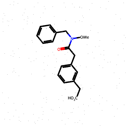 CON(Cc1ccccc1)C(=O)Cc1cccc(CC(=O)O)c1